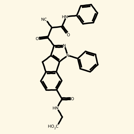 N#CC(C(=O)Nc1ccccc1)C(=O)c1nn(-c2ccccc2)c2c1Cc1ccc(C(=O)NCC(=O)O)cc1-2